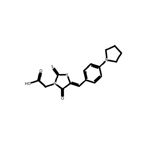 O=C(O)CN1C(=O)C(=Cc2ccc(N3CCCC3)cc2)SC1=S